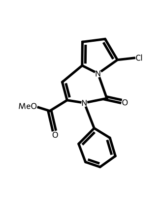 COC(=O)c1cc2ccc(Cl)n2c(=O)n1-c1ccccc1